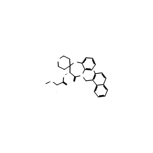 CN[C@@H](C)C(=O)N[C@@H]1C(=O)N(Cc2c(C)ccc3ccccc23)c2ccccc2OC12CCOCC2